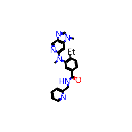 CCc1ccc(C(=O)NCc2ccccn2)cc1N(C)c1cc2c(cn1)ncn2C